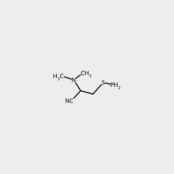 CN(C)C(C#N)CSP